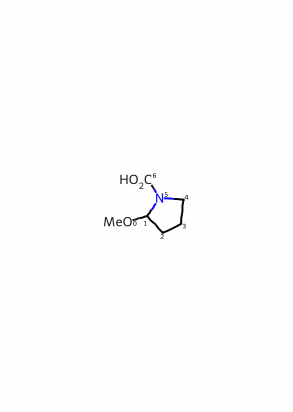 COC1CCCN1C(=O)O